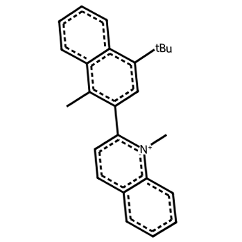 Cc1c(-c2ccc3ccccc3[n+]2C)cc(C(C)(C)C)c2ccccc12